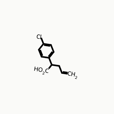 C=CCC(C(=O)O)c1ccc(Cl)cc1